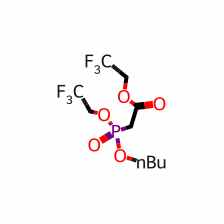 CCCCOP(=O)(CC(=O)OCC(F)(F)F)OCC(F)(F)F